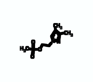 Cc1cn(CCOS(C)(=O)=O)nc1C